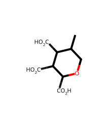 CC1COC(C(=O)O)C(C(=O)O)C1C(=O)O